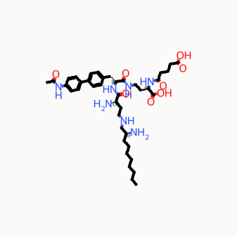 CCCCCCCC[C@H](N)CNCC[C@H](N)C(=O)N[C@H](Cc1ccc(-c2ccc(NC(C)=O)cc2)cc1)C(=O)NCC[C@@H](NC(=O)CCCC(=O)O)C(=O)O